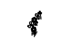 COC(=O)C(c1ccc(C(F)(F)F)cc1)n1ncc2c(NC(=O)OC(C)(C)C)cccc21